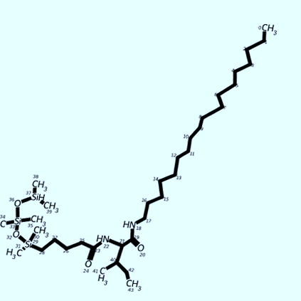 CCCCCCCCCCCCCCCCCCNC(=O)C(NC(=O)CCCC[Si](C)(C)O[Si](C)(C)O[SiH](C)C)C(C)CC